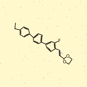 CCc1ccc(-c2ccc(-c3ccc(/C=C/C4OCCO4)c(F)c3)cc2)cc1